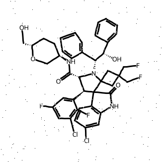 O=C(N[C@@H]1CC[C@@H](CO)OC1)[C@H]1[C@H](c2cc(F)cc(Cl)c2F)C2(C(=O)Nc3cc(Cl)ccc32)C2(CC(CF)(CF)C2)N1[C@H](c1ccccc1)[C@@H](O)c1ccccc1